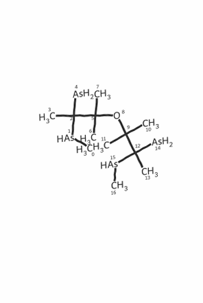 C[AsH]C(C)([AsH2])C(C)(C)OC(C)(C)C(C)([AsH2])[AsH]C